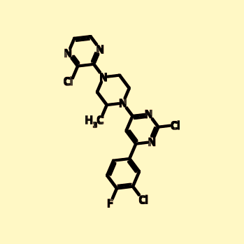 CC1CN(c2nccnc2Cl)CCN1c1cc(-c2ccc(F)c(Cl)c2)nc(Cl)n1